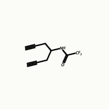 C#CCC(CC#C)NC(=O)C(F)(F)F